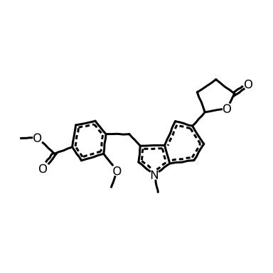 COC(=O)c1ccc(Cc2cn(C)c3ccc(C4CCC(=O)O4)cc23)c(OC)c1